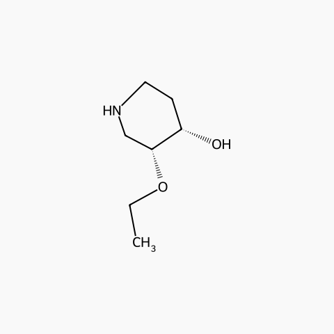 CCO[C@@H]1CNCC[C@@H]1O